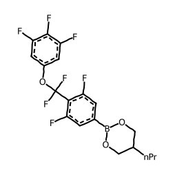 CCCC1COB(c2cc(F)c(C(F)(F)Oc3cc(F)c(F)c(F)c3)c(F)c2)OC1